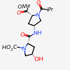 COC(=O)[C@H]1C[C@@H](NC(=O)[C@@H]2C[C@H](O)CN2C(=O)O)CN1C(=O)C(C)C